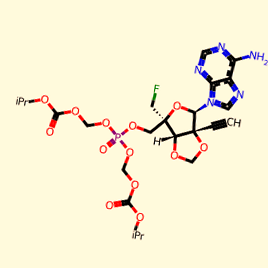 C#C[C@@]12OCO[C@@H]1[C@@](CF)(COP(=O)(OCOC(=O)OC(C)C)OCOC(=O)OC(C)C)O[C@H]2n1cnc2c(N)ncnc21